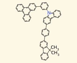 CC1(C)c2ccccc2-c2ccc(-c3ccc(-c4ccc5c(c4)c4ccccc4n5-c4cccc(-c5ccc6c7ccccc7c7ccccc7c6c5)c4)cc3)cc21